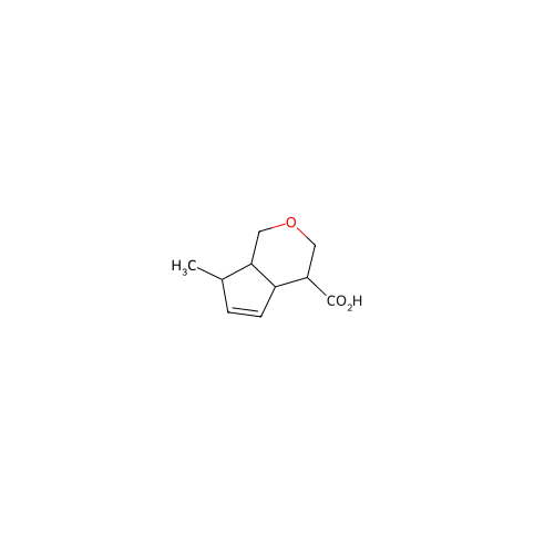 CC1C=CC2C(C(=O)O)COCC12